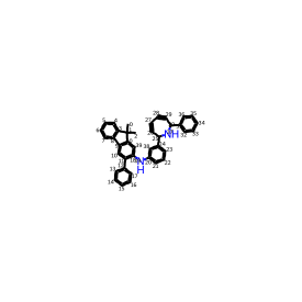 CC1(C)c2ccccc2-c2cc(-c3ccccc3)c(Nc3cccc(C4C#CC#CC(c5ccccc5)N4)c3)cc21